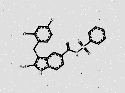 CSc1[nH]c2ccc(C(=O)NS(=O)(=O)c3ccccc3)cc2c1Cc1ccc(Cl)cc1Cl